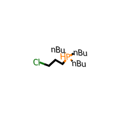 CCCC[PH](CCCC)(CCCC)CCCCl